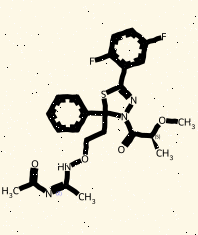 CO[C@@H](C)C(=O)N1N=C(c2cc(F)ccc2F)SC1(CCON/C(C)=N\C(C)=O)c1ccccc1